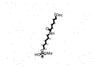 CCCCCCCCCCCCCCCC(=O)NCCCCCCOP(O)(=S)OC